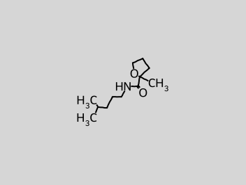 CC(C)CCCNC(=O)C1(C)CCCO1